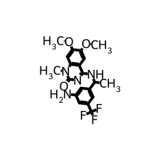 COc1cc2c(NC(C)c3cc(N)cc(C(F)(F)F)c3)nc(=O)n(C)c2cc1OC